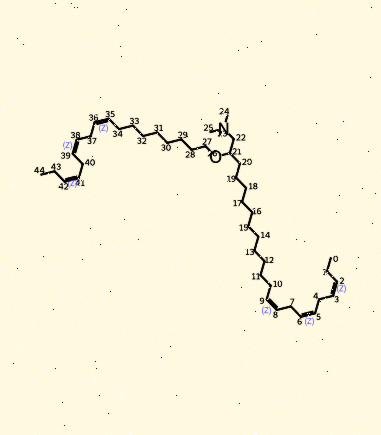 CC/C=C\C/C=C\C/C=C\CCCCCCCCCCCC(CN(C)C)OCCCCCCCC/C=C\C/C=C\C/C=C\CC